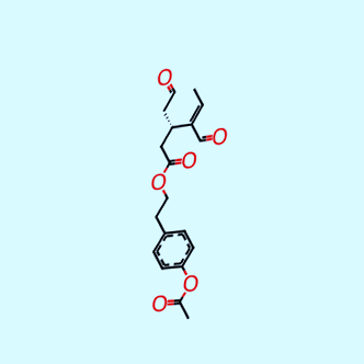 C/C=C(/C=O)[C@@H](CC=O)CC(=O)OCCc1ccc(OC(C)=O)cc1